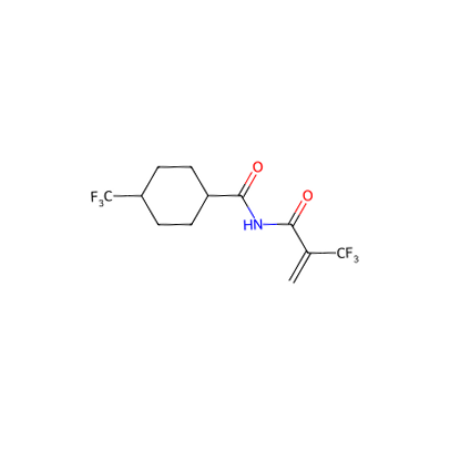 C=C(C(=O)NC(=O)C1CCC(C(F)(F)F)CC1)C(F)(F)F